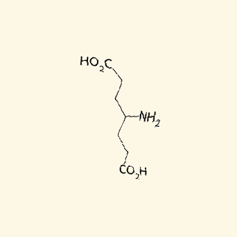 NC(CCC(=O)O)CCC(=O)O